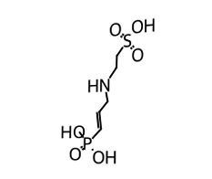 O=P(O)(O)C=CCNCCS(=O)(=O)O